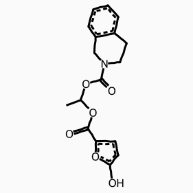 CC(OC(=O)c1ccc(O)o1)OC(=O)N1CCc2ccccc2C1